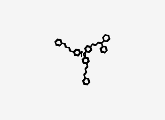 C1=C=C(C=CC=Cc2ccc(N(c3ccc(C=CC=CC4=C=C=CC=C4)cc3)c3ccc(C=CC=C(C4=C=C=CC=C4)C4C=CCCC4)cc3)cc2)C=CC=1